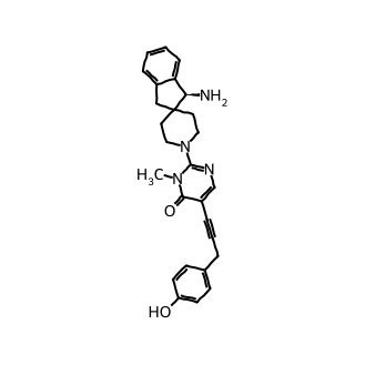 Cn1c(N2CCC3(CC2)Cc2ccccc2[C@H]3N)ncc(C#CCc2ccc(O)cc2)c1=O